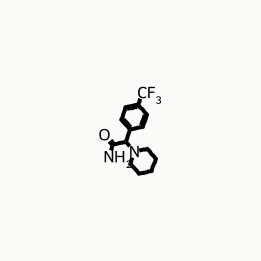 NC(=O)C(c1ccc(C(F)(F)F)cc1)N1CCCCC1